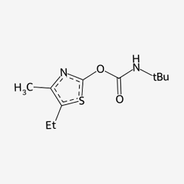 CCc1sc(OC(=O)NC(C)(C)C)nc1C